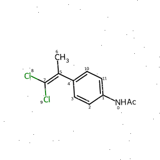 CC(=O)Nc1ccc(C(C)=C(Cl)Cl)cc1